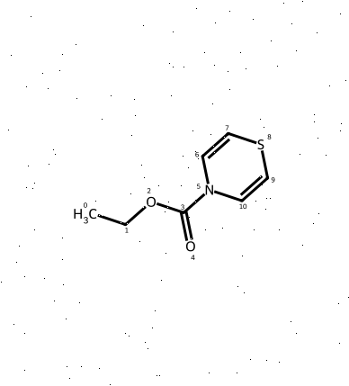 CCOC(=O)N1C=CSC=C1